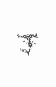 CC(C)(c1ccc(OCCC2CC2O)cc1)c1ccc(C(C)(c2ccc(OCC3CO3)cc2)c2ccc(OCC3CO3)cc2)cc1